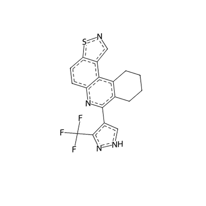 FC(F)(F)c1n[nH]cc1-c1nc2ccc3sncc3c2c2c1CCCC2